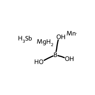 OB(O)O.[MgH2].[Mn].[SbH3]